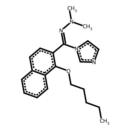 CCCCCOc1c(C(=NN(C)C)n2ccnc2)ccc2ccccc12